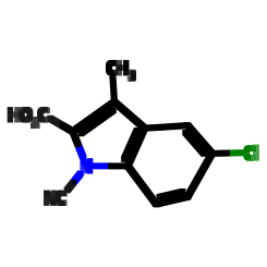 Cc1c(C(=O)O)n(C#N)c2ccc(Cl)cc12